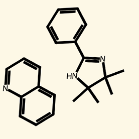 CC1(C)N=C(c2ccccc2)NC1(C)C.c1ccc2ncccc2c1